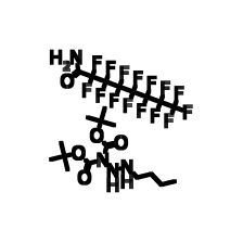 CCCCNNN(C(=O)OC(C)(C)C)C(=O)OC(C)(C)C.NC(=O)C(F)(F)C(F)(F)C(F)(F)C(F)(F)C(F)(F)C(F)(F)C(F)(F)F